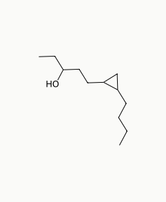 CCCCC1CC1CCC(O)CC